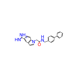 N=C(N)c1ccc2c(ccn2CC(=O)NCc2ccc(-c3ccccc3)cc2)c1